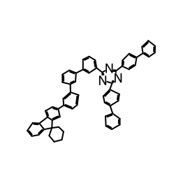 c1ccc(-c2ccc(-c3nc(-c4ccc(-c5ccccc5)cc4)nc(-c4cccc(-c5cccc(-c6cccc(-c7ccc8c(c7)C7(CCCCC7)c7ccccc7-8)c6)c5)c4)n3)cc2)cc1